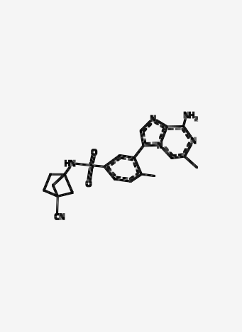 Cc1cn2c(-c3cc(S(=O)(=O)NC45CCC(C#N)(C4)C5)ccc3C)cnc2c(N)n1